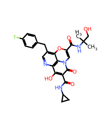 CC(C)(CO)NC(=O)C1=Cn2c(=O)c(C(=O)NC3CC3)c(O)c3ncc(Cc4ccc(F)cc4)c(c32)O1